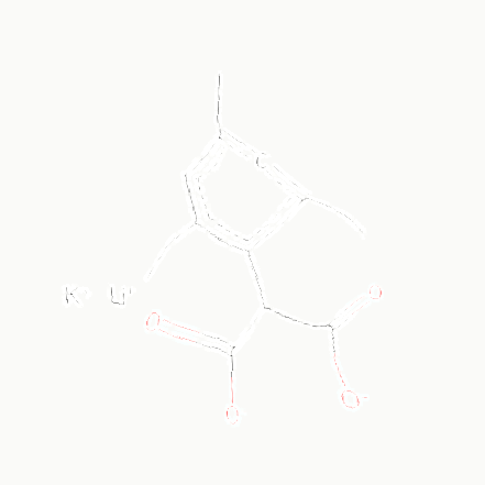 Cc1cc(C)c(C(C(=O)[O-])C(=O)[O-])c(C)c1.[K+].[Li+]